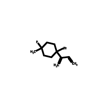 C=CC(=C)C1(C(C)C)CCC(C)(F)CC1